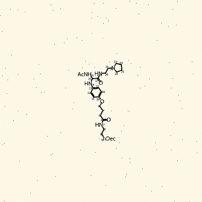 CCCCCCCCCCCCNC(=O)CCCOc1ccc(NC(NC(C)=O)C(=O)NCCN2CCCC2)cc1